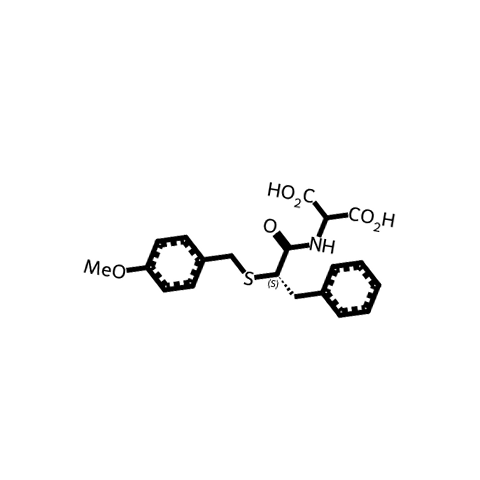 COc1ccc(CS[C@@H](Cc2ccccc2)C(=O)NC(C(=O)O)C(=O)O)cc1